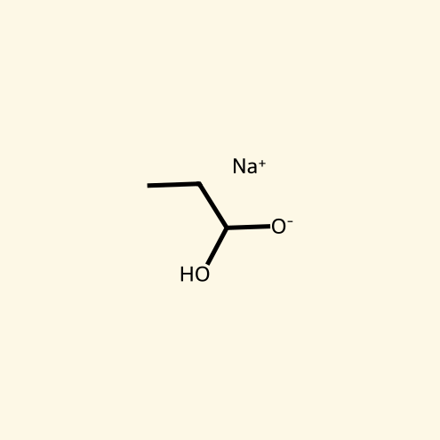 CCC([O-])O.[Na+]